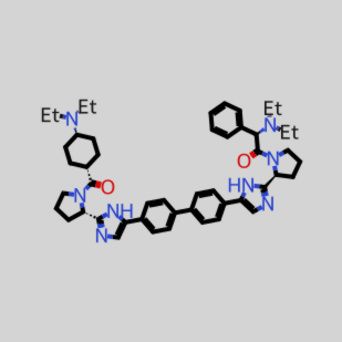 CCN(CC)[C@@H](C(=O)N1CCC[C@H]1c1ncc(-c2ccc(-c3ccc(-c4cnc([C@@H]5CCCN5C(=O)[C@H]5CC[C@@H](N(CC)CC)CC5)[nH]4)cc3)cc2)[nH]1)c1ccccc1